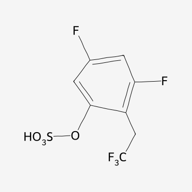 O=S(=O)(O)Oc1cc(F)cc(F)c1CC(F)(F)F